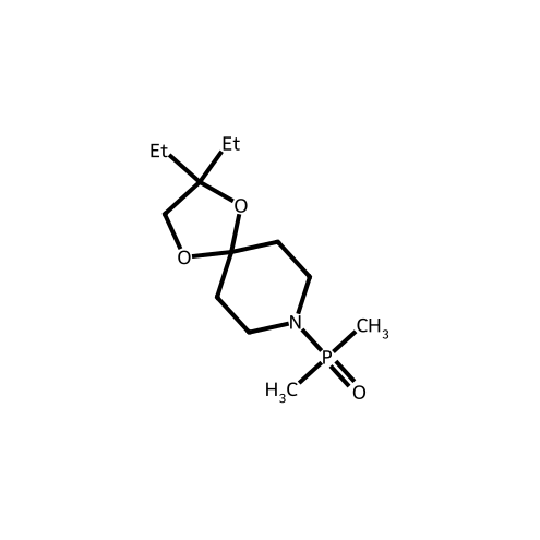 CCC1(CC)COC2(CCN(P(C)(C)=O)CC2)O1